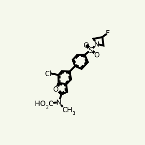 CN(C(=O)O)c1cc2cc(-c3ccc(S(=O)(=O)N4CC(F)C4)cc3)cc(Cl)c2o1